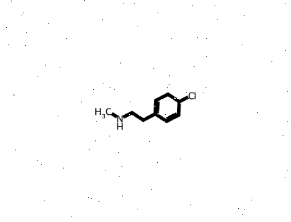 CNCCC1=CCC(Cl)C=C1